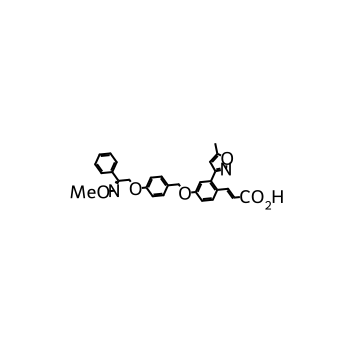 CON=C(COc1ccc(COc2ccc(C=CC(=O)O)c(-c3cc(C)on3)c2)cc1)c1ccccc1